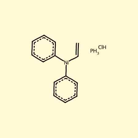 C=[CH][Ni]([c]1ccccc1)[c]1ccccc1.Cl.P